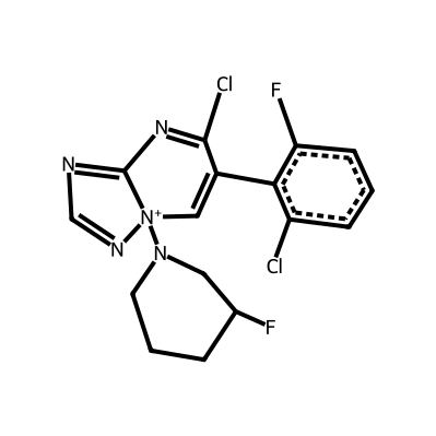 Fc1cccc(Cl)c1C1=C[N+]2(N3CCCC(F)C3)N=CN=C2N=C1Cl